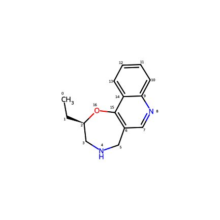 CC[C@@H]1CNCc2cnc3ccccc3c2O1